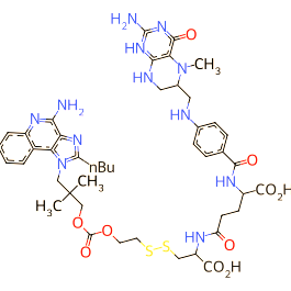 CCCCc1nc2c(N)nc3ccccc3c2n1CC(C)(C)COC(=O)OCCSSCC(NC(=O)CCC(NC(=O)c1ccc(NCC2CNc3[nH]c(N)nc(=O)c3N2C)cc1)C(=O)O)C(=O)O